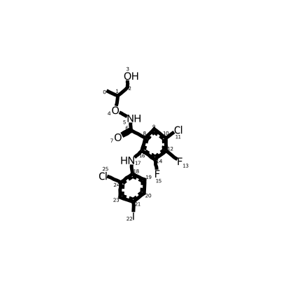 CC(CO)ONC(=O)c1cc(Cl)c(F)c(F)c1Nc1ccc(I)cc1Cl